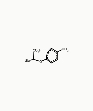 CC(C)(C)C(Oc1ccc(N)cc1)C(=O)O